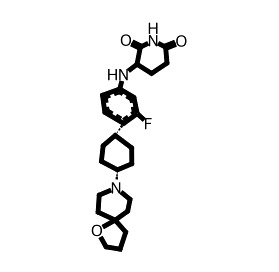 O=C1CCC(Nc2ccc([C@H]3CC[C@@H](N4CCC5(CCCO5)CC4)CC3)c(F)c2)C(=O)N1